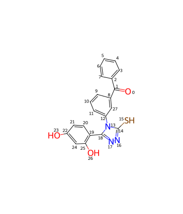 O=C(c1ccccc1)c1cccc(-n2c(S)nnc2-c2ccc(O)cc2O)c1